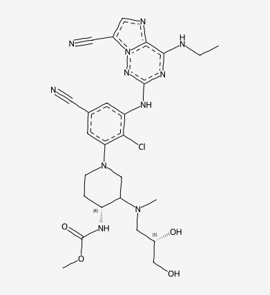 CCNc1nc(Nc2cc(C#N)cc(N3CC[C@@H](NC(=O)OC)C(N(C)C[C@H](O)CO)C3)c2Cl)nn2c(C#N)cnc12